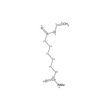 C=COC(=O)CCCCC[CH2][Co](=[O])[NH]C